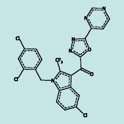 O=C(c1nnc(-c2ccncn2)o1)c1c(C(F)(F)F)n(Cc2ccc(Cl)cc2Cl)c2ccc(Cl)cc12